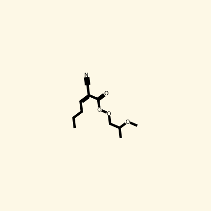 CCCC=C(C#N)C(=O)OOCC(C)OC